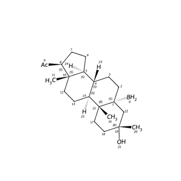 B[C@@]12CC[C@H]3[C@@H]4CC[C@H](C(C)=O)[C@@]4(C)CC[C@@H]3[C@@]1(C)CC[C@@](C)(O)C2